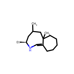 CC[C@H]1CC(C)CC2(C)CCCCC/C2=C\N1